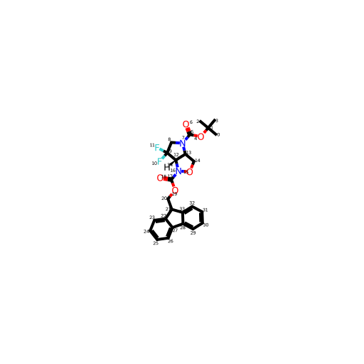 CC(C)(C)OC(=O)N1CC(F)(F)[C@@H]2C1CON2C(=O)OCC1c2ccccc2-c2ccccc21